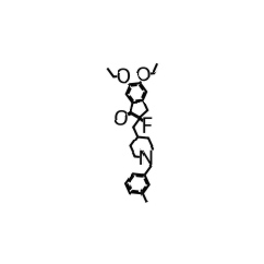 CCOc1cc2c(cc1OCC)C(=O)C(F)(CC1CCN(Cc3cccc(C)c3)CC1)C2